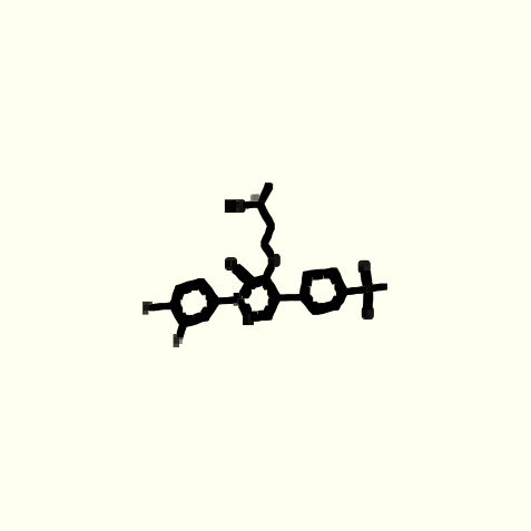 C[C@H](O)CCOc1c(-c2ccc(S(C)(=O)=O)cc2)cnn(-c2ccc(F)c(F)c2)c1=O